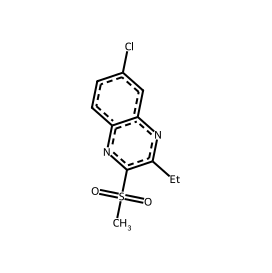 CCc1nc2cc(Cl)ccc2nc1S(C)(=O)=O